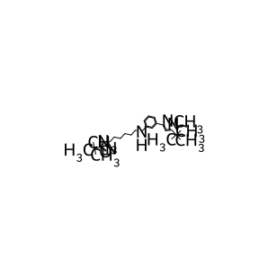 Cn1nc(-c2cccc(NCCCCCc3noc(C(C)(C)C)n3)c2)cc1C(C)(C)C